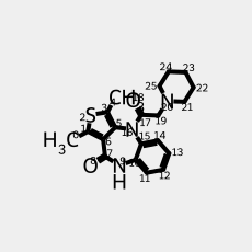 Cc1sc(C)c2c1C(=O)Nc1ccccc1N2C(=O)CN1CCCCC1